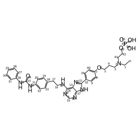 CCN(CCCOc1ccc(-c2nc3c(NCCc4ccc(NC(=O)Nc5ccccc5)cc4)ncnc3[nH]2)cc1)CCOP(=O)(O)O